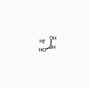 OBO.[Hf]